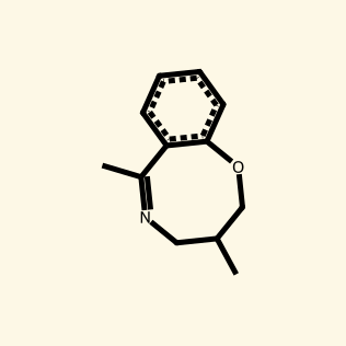 C/C1=N/CC(C)COc2ccccc21